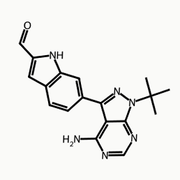 CC(C)(C)n1nc(-c2ccc3cc(C=O)[nH]c3c2)c2c(N)ncnc21